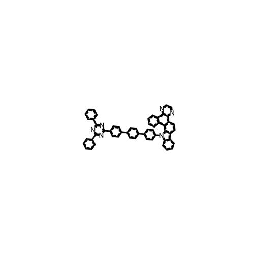 c1ccc(-c2nc(-c3ccccc3)nc(-c3ccc(-c4ccc(-c5ccc(-n6c7ccccc7c7ccc8c9nccnc9c9ccccc9c8c76)cc5)cc4)cc3)n2)cc1